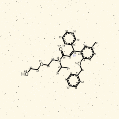 Cc1ccc(OCc2ccccc2)c(/C(=C/C(=O)N(CCOCCO)C(C)C)c2ccccc2)c1